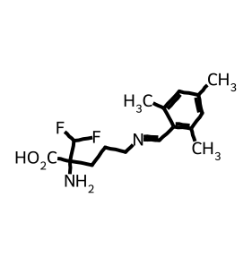 Cc1cc(C)c(C=NCCCC(N)(C(=O)O)C(F)F)c(C)c1